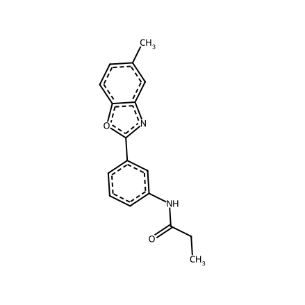 CCC(=O)Nc1cccc(-c2nc3cc(C)ccc3o2)c1